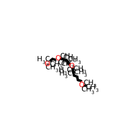 COC(C)(C)CCOC(C)(C)C(C)(C)C(C)COC(C)(C)C(C)(C)CCCCOC(C)(C)C